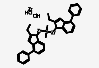 CCC1=Cc2c(-c3ccccc3)cccc2[CH]1[Zr][Si](C)(C)[Zr][CH]1C(CC)=Cc2c(-c3ccccc3)cccc21.Cl.Cl.[Zr]